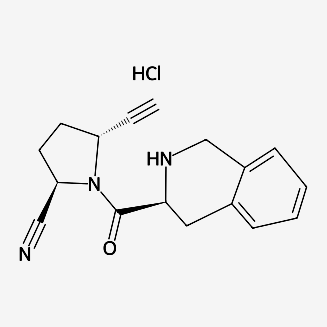 C#C[C@H]1CC[C@H](C#N)N1C(=O)[C@@H]1Cc2ccccc2CN1.Cl